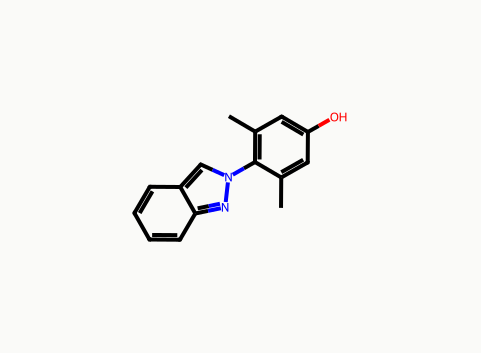 Cc1cc(O)cc(C)c1-n1cc2ccccc2n1